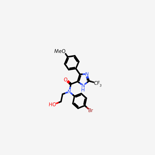 COc1ccc(-c2nc(C(F)(F)F)[nH]c2C(=O)N(CCO)c2ccc(Br)cc2)cc1